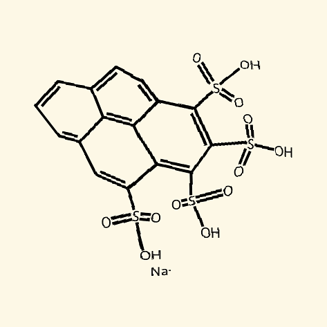 O=S(=O)(O)c1c(S(=O)(=O)O)c2ccc3cccc4cc(S(=O)(=O)O)c(c1S(=O)(=O)O)c2c34.[Na]